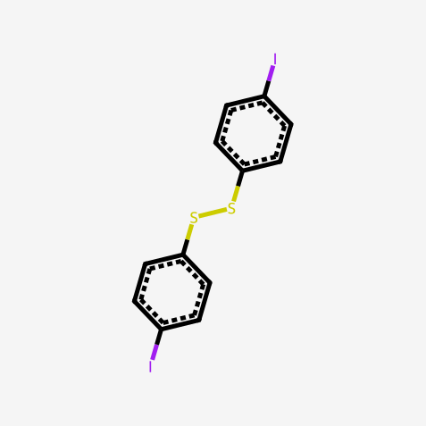 Ic1ccc(SSc2ccc(I)cc2)cc1